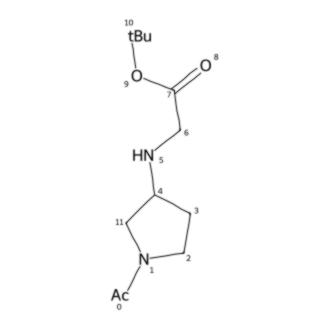 CC(=O)N1CCC(NCC(=O)OC(C)(C)C)C1